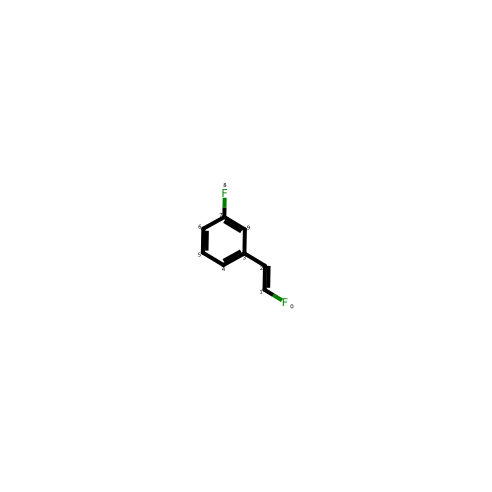 FC=Cc1cccc(F)c1